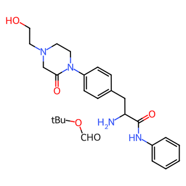 CC(C)(C)OC=O.NC(Cc1ccc(N2CCN(CCO)CC2=O)cc1)C(=O)Nc1ccccc1